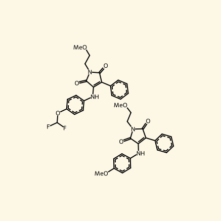 COCCN1C(=O)C(Nc2ccc(OC(F)F)cc2)=C(c2ccccc2)C1=O.COCCN1C(=O)C(Nc2ccc(OC)cc2)=C(c2ccccc2)C1=O